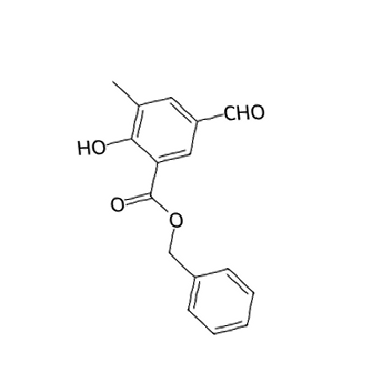 Cc1cc(C=O)cc(C(=O)OCc2ccccc2)c1O